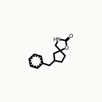 O=C1NCC2(CCC(Cc3ccccc3)C2)O1